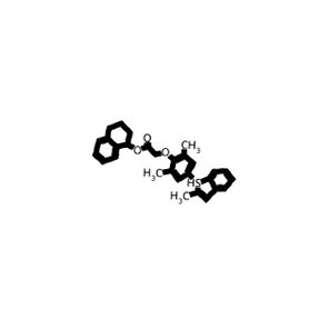 CC1=Cc2ccccc2[SH]1c1cc(C)c(OCC(=O)OC2CCCc3ccccc32)c(C)c1